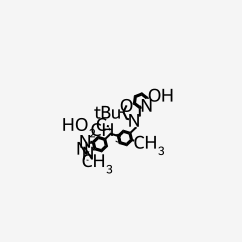 Cc1ccc([C@@H](CC(=O)O)c2ccc3c(nnn3C)c2C)cc1CN1Cc2nc(O)ccc2O[C@H](C(C)(C)C)C1